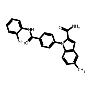 Cc1ccc2c(c1)cc(C(N)=O)n2-c1ccc(C(=O)Nc2ccccc2N)cc1